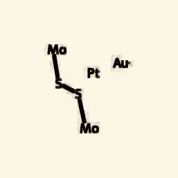 [Au].[Mo][S][S][Mo].[Pt]